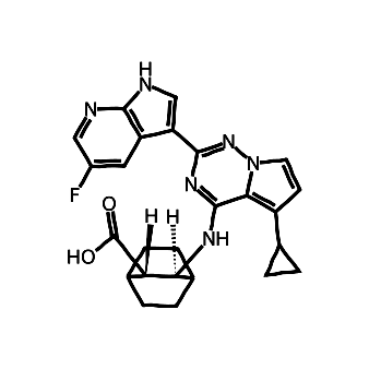 O=C(O)[C@H]1C2CCC(CC2)[C@@H]1Nc1nc(-c2c[nH]c3ncc(F)cc23)nn2ccc(C3CC3)c12